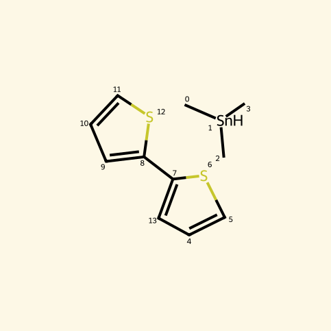 [CH3][SnH]([CH3])[CH3].c1csc(-c2cccs2)c1